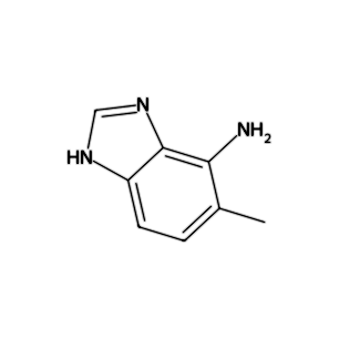 Cc1ccc2[nH]cnc2c1N